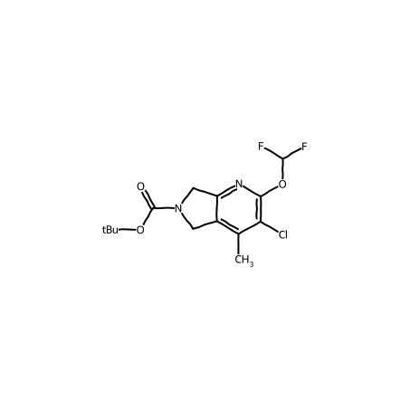 Cc1c(Cl)c(OC(F)F)nc2c1CN(C(=O)OC(C)(C)C)C2